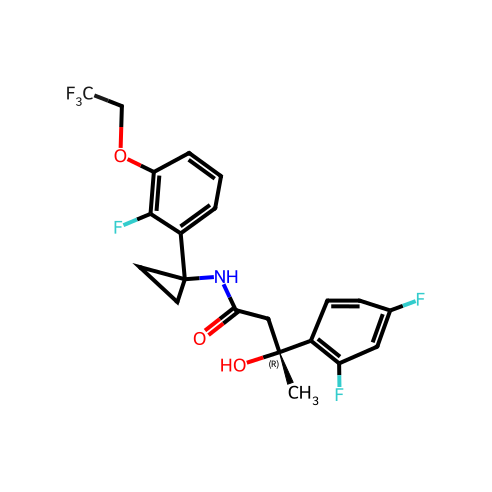 C[C@@](O)(CC(=O)NC1(c2cccc(OCC(F)(F)F)c2F)CC1)c1ccc(F)cc1F